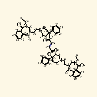 CCN1CC(CCN2CCC(OC(=O)/C=C/C(=O)OC3(c4ccccc4)CCN(CCC4CN(CC)C(=O)c5ccccc5N4C)CC3)(c3ccccc3)CC2)N(C)c2ccccc2C1=O